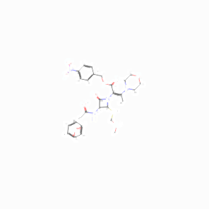 COCSC1C(NC(C)=O)C(=O)N1C(C(=O)OCc1ccc([N+](=O)[O-])cc1)=C(C)N1CCOCC1.c1cc2cc(c1)O2